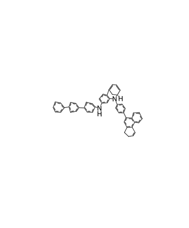 C1=C[C@@H]2CC(=C1)c1ccc(Nc3ccc(-c4ccc(-c5ccccc5)cc4)cc3)cc1N2c1ccc(-c2cc3c(c4ccccc24)C=CCC3)cc1